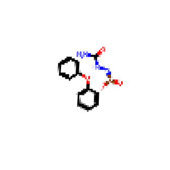 NC(=O)NN=S(=O)=O.c1ccc(Oc2ccccc2)cc1